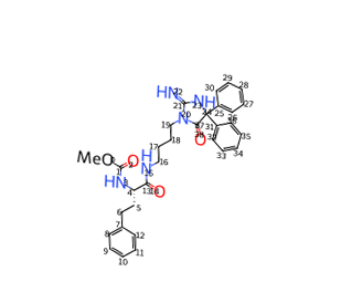 COC(=O)N[C@@H](CCc1ccccc1)C(=O)NCCCCN1C(=N)NC(c2ccccc2)(c2ccccc2)C1=O